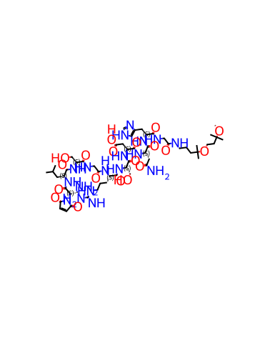 COC(C)(C)CCOC(C)(C)CCCNC(=O)CNC(=O)[C@H](Cc1c[nH]cn1)NC(=O)[C@H](CC(N)=O)NC(=O)[C@H](CC(=O)O)NC(=O)[C@H](CO)NC(=O)[C@H](CCCNC(=N)N)NC(=O)CNC(=O)[C@H](CO)NC(=O)[C@H](CC(C)C)NC(=O)[C@H](CN)N1C(=O)C=CC1=O